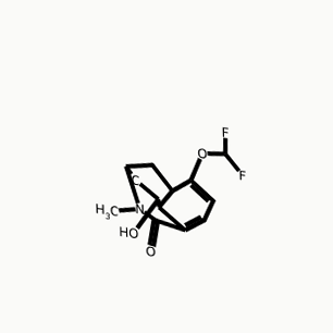 CN1C(=O)C2=CC=C(OC(F)F)C3CC1CC(O)C23